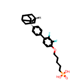 O=P(O)(O)CCCCCOc1ccc(-c2ccc([C@]34CC5CC(C[C@H](C5)C3)C4)cc2)c(F)c1F